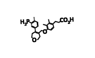 Cc1ccc(C2=C(COc3ccc(CCC(=O)O)c(C)c3C)CCOCC2)cc1P